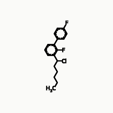 CCCCCC(Cl)c1cccc(-c2ccc(F)cc2)c1F